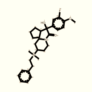 COc1ccc(C(O)(C(=O)N2CCC([N+](C)(C)CCc3ccccc3)CC2)C2CCCC2)cc1F